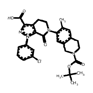 Cc1cc2c(cc1N1CCc3c(C(=O)O)nn(-c4cccc(Cl)c4)c3C1=O)CN(C(=O)OC(C)(C)C)CC2